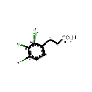 O=C(O)CCc1ccc(F)c(F)c1Br